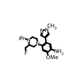 COc1cc(N2CCN(C(C)C)C(CF)C2)c(-c2cnn(C)c2)cc1N